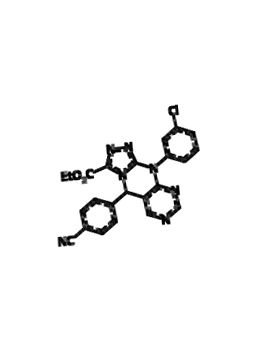 CCOC(=O)c1nnc2n1C(c1ccc(C#N)cc1)c1cncnc1N2c1cccc(Cl)c1